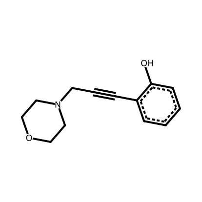 Oc1ccccc1C#CCN1CCOCC1